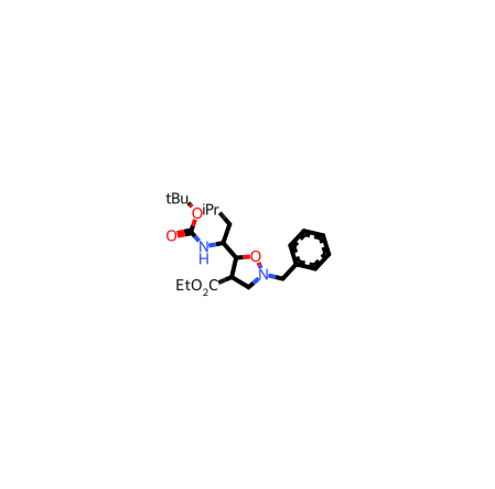 CCOC(=O)C1CN(Cc2ccccc2)OC1C(CC(C)C)NC(=O)OC(C)(C)C